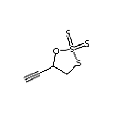 C#CC1CSS(=S)(=S)O1